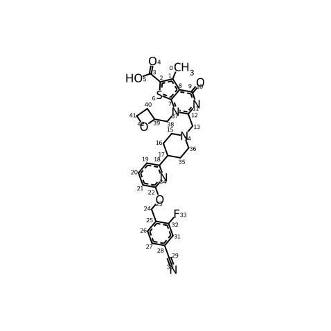 Cc1c(C(=O)O)sc2c1c(=O)nc(CN1CCC(c3cccc(OCc4ccc(C#N)cc4F)n3)CC1)n2CC1CCO1